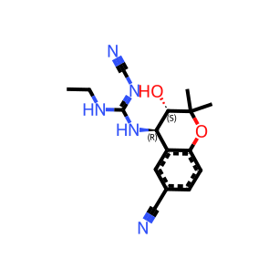 CCNC(=NC#N)N[C@@H]1c2cc(C#N)ccc2OC(C)(C)[C@H]1O